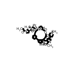 C=CC(=O)N1CC[C@H](C(=O)N(C)[C@H](C(=O)N[C@H]2Cc3cccc(c3)-c3ccc4c(c3)c(c(-c3cc(C5=CCN(C)CC5)cnc3[C@H](C)OC)n4CC)CC(C)(C)COC(=O)[C@@H]3CCCN(N3)C2=O)C(C)C)C1